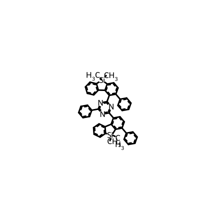 C[Si]1(C)c2ccccc2-c2c1ccc(-c1ccccc1)c2-c1nc(-c2ccccc2)nc(-c2ccc(-c3ccccc3)c3c2-c2ccccc2[Si]3(C)C)n1